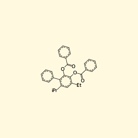 CCc1cc(C(C)C)c(-c2ccccc2)c(OC(=O)c2ccccc2)c1OC(=O)c1ccccc1